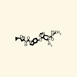 CCNC(=O)N1Cc2ncnc(Oc3ccc4c(ccn4C(=O)Nc4cc(C5CC5)on4)c3)c2C[C@@H]1C